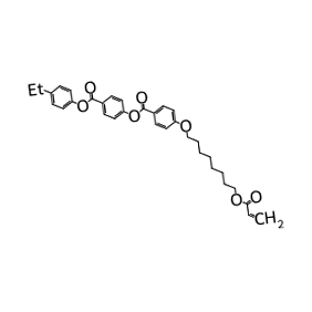 C=CC(=O)OCCCCCCCCOc1ccc(C(=O)Oc2ccc(C(=O)Oc3ccc(CC)cc3)cc2)cc1